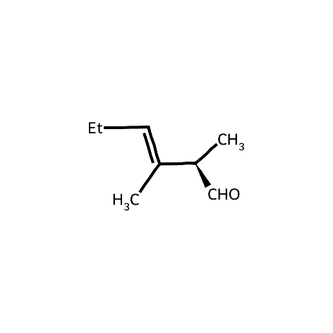 CC/C=C(\C)[C@@H](C)C=O